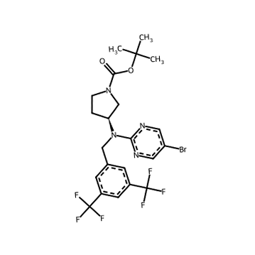 CC(C)(C)OC(=O)N1CC[C@H](N(Cc2cc(C(F)(F)F)cc(C(F)(F)F)c2)c2ncc(Br)cn2)C1